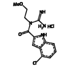 COCCN(C(=N)N)C(=O)c1cc2c(Cl)cccc2[nH]1.Cl